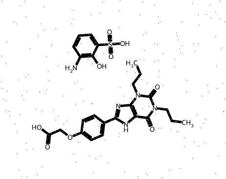 CCCn1c(=O)c2[nH]c(-c3ccc(OCC(=O)O)cc3)nc2n(CCC)c1=O.Nc1cccc(S(=O)(=O)O)c1O